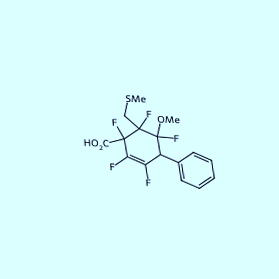 COC1(F)C(c2ccccc2)C(F)=C(F)C(F)(C(=O)O)C1(F)CSC